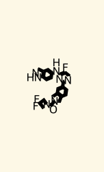 O=C(N1Cc2ccc(-c3ncc(F)c(Nc4ccc5[nH]ncc5c4)n3)cc2C1)N1CC(F)(F)C1